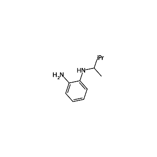 CC(C)C(C)Nc1ccccc1N